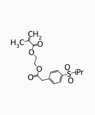 C=C(C)C(=O)OCCOC(=O)Cc1ccc(S(=O)(=O)C(C)C)cc1